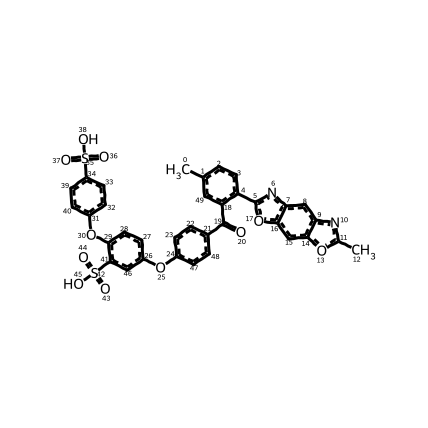 Cc1ccc(-c2nc3cc4nc(C)oc4cc3o2)c(C(=O)c2ccc(Oc3ccc(Oc4ccc(S(=O)(=O)O)cc4)c(S(=O)(=O)O)c3)cc2)c1